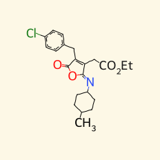 CCOC(=O)CC1=C(Cc2ccc(Cl)cc2)C(=O)O/C1=N\C1CCC(C)CC1